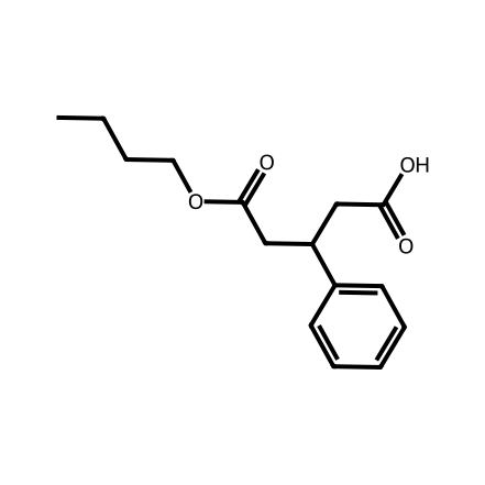 CCCCOC(=O)CC(CC(=O)O)c1ccccc1